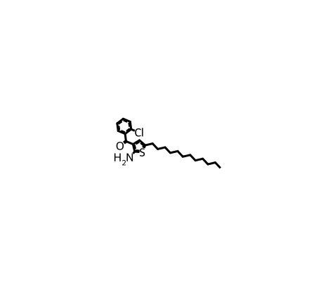 CCCCCCCCCCCCc1cc(C(=O)c2ccccc2Cl)c(N)s1